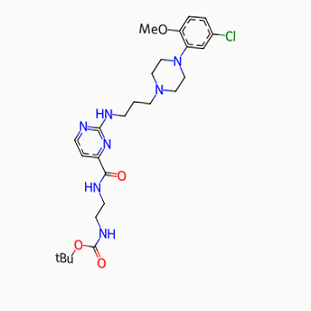 COc1ccc(Cl)cc1N1CCN(CCCNc2nccc(C(=O)NCCNC(=O)OC(C)(C)C)n2)CC1